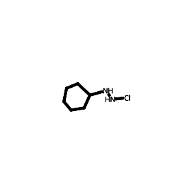 ClNNC1CCCCC1